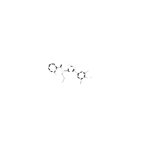 CCCN(C(=O)c1ccccc1F)c1nnc(-c2cc(C)c(OC)c(C)c2)s1